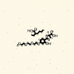 CCCCC(CC)C(=O)O.COCCOCCOCCOc1ccc(C2=N[C@@](C)(C(=O)O)CS2)c(O)c1